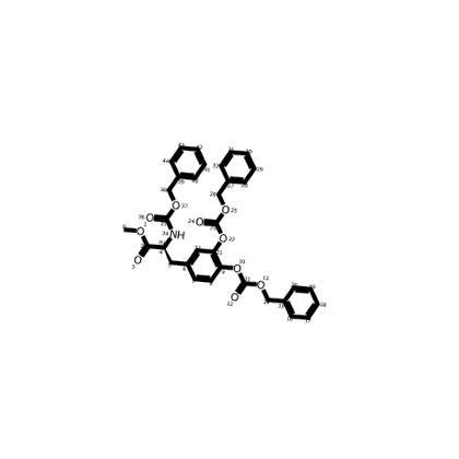 COC(=O)[C@H](Cc1ccc(OC(=O)OCc2ccccc2)c(OC(=O)OCc2ccccc2)c1)NC(=O)OCc1ccccc1